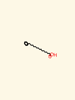 O=C(O)CCCCCCCCCCCCCCCc1ccccc1